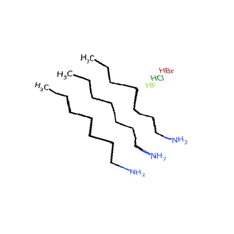 Br.CCCCCCCN.CCCCCCCN.CCCCCCCN.Cl.F